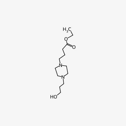 CCOC(=O)CCCN1CCN(CCCO)CC1